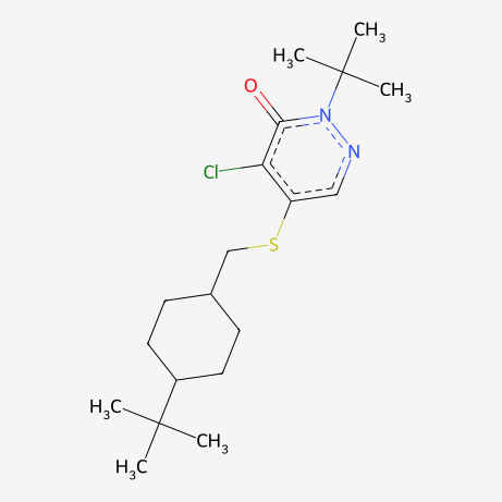 CC(C)(C)C1CCC(CSc2cnn(C(C)(C)C)c(=O)c2Cl)CC1